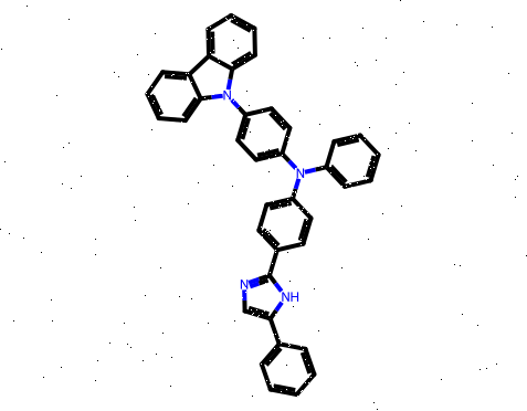 c1ccc(-c2cnc(-c3ccc(N(c4ccccc4)c4ccc(-n5c6ccccc6c6ccccc65)cc4)cc3)[nH]2)cc1